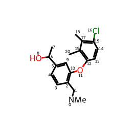 CNCc1ccc(C(C)O)cc1Oc1ccc(Cl)c(C)c1C